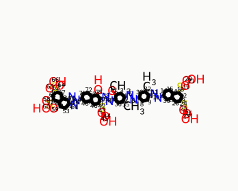 COc1cc(N=Nc2ccc(N=Nc3ccc4c(SOOO)cc(SOOO)cc4c3)c(C)c2)c(C)cc1N=Nc1c(SOOO)cc2cc(-n3nc4ccc5c(S(=O)(=O)O)cc(S(=O)(=O)O)cc5c4n3)ccc2c1O